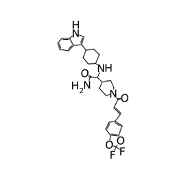 NC(=O)C(NC1CCC(c2c[nH]c3ccccc23)CC1)C1CCN(C(=O)C=Cc2ccc3c(c2)OC(F)(F)O3)CC1